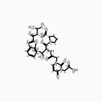 CC(C)[C@H](NC(=O)[C@@H]1CCCN1C(=O)[C@@H](NC(=O)Cn1ccc(=O)n(CC(=O)O)c1=O)C(C)C)C(=O)c1nc2ccccc2o1